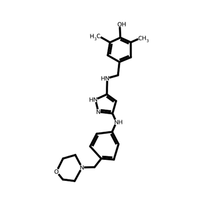 Cc1cc(CNc2cc(Nc3ccc(CN4CCOCC4)cc3)n[nH]2)cc(C)c1O